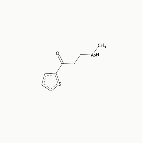 C[AsH]CCC(=O)c1cccs1